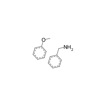 COc1ccccc1.NCc1ccccc1